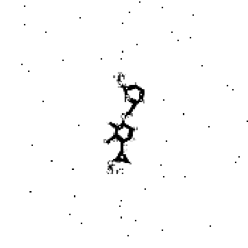 Cc1c(OCc2cccc(SC(C)C)n2)ccc(C2CC2OC=O)c1C